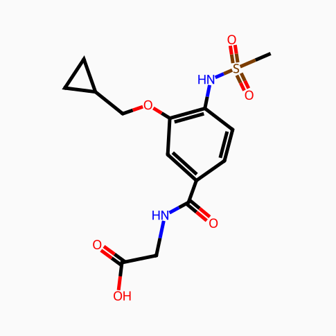 CS(=O)(=O)Nc1ccc(C(=O)NCC(=O)O)cc1OCC1CC1